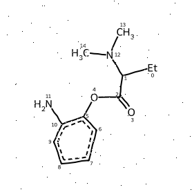 CCC(C(=O)Oc1ccccc1N)N(C)C